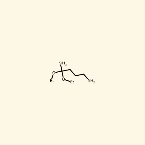 CCOC([SiH3])(CCCN)OCC